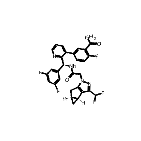 NC(=O)c1cc(-c2cccnc2[C@@H](NC(=O)Cn2nc(C(F)F)c3c2C[C@@H]2C[C@H]32)c2cc(F)cc(F)c2)ccc1F